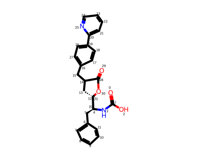 O=C(O)N[C@@H](Cc1ccccc1)[C@@H]1CC(Cc2ccc(-c3ccccn3)cc2)C(=O)O1